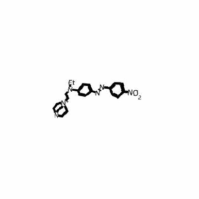 CCN(CC[N+]12CCN(CC1)CC2)c1ccc(/N=N/c2ccc([N+](=O)[O-])cc2)cc1